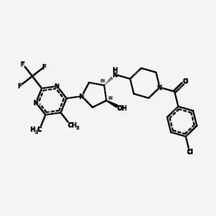 Cc1nc(C(F)(F)F)nc(N2C[C@H](NC3CCN(C(=O)c4ccc(Cl)cc4)CC3)[C@@H](O)C2)c1C